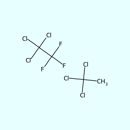 CC(Cl)(Cl)Cl.FC(F)(F)C(Cl)(Cl)Cl